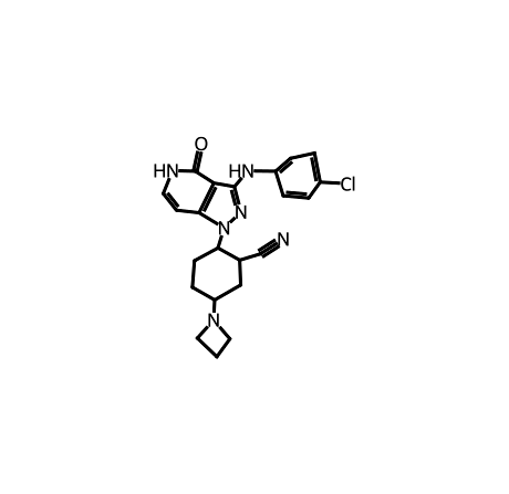 N#CC1CC(N2CCC2)CCC1n1nc(Nc2ccc(Cl)cc2)c2c(=O)[nH]ccc21